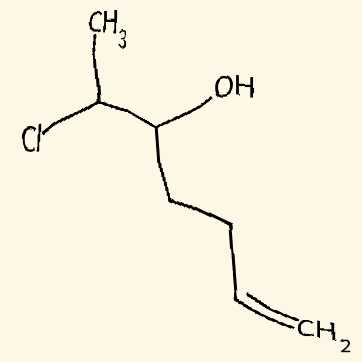 C=CCCC(O)C(C)Cl